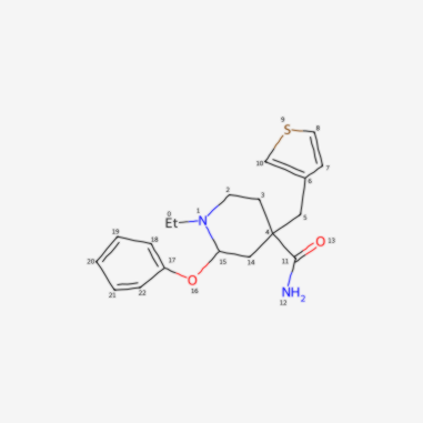 CCN1CCC(Cc2ccsc2)(C(N)=O)CC1Oc1ccccc1